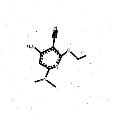 CCOc1nc(N(C)C)cc(N)c1C#N